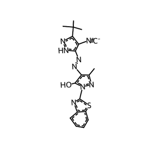 [C-]#[N+]c1c(C(C)(C)C)n[nH]c1/N=N/c1c(C)nn(-c2nc3ccccc3s2)c1O